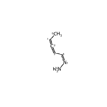 CC=C=C/C=N\N